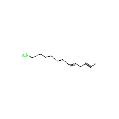 CC=CCC=CCCCCCCCl